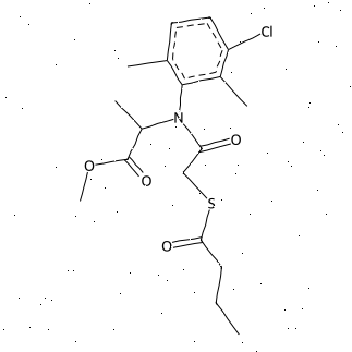 CCCC(=O)SCC(=O)N(c1c(C)ccc(Cl)c1C)C(C)C(=O)OC